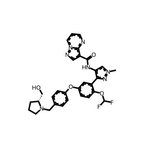 Cn1cc(NC(=O)c2cnn3cccnc23)c(-c2cc(Oc3ccc(CN4CCC[C@@H]4CO)cc3)ccc2OC(F)F)n1